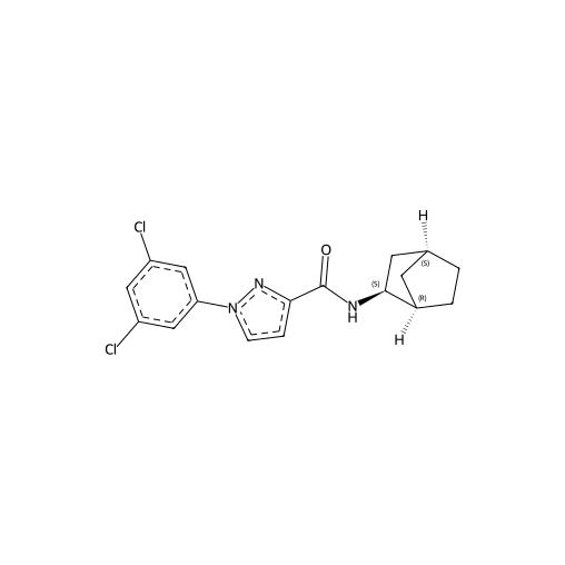 O=C(N[C@H]1C[C@H]2CC[C@@H]1C2)c1ccn(-c2cc(Cl)cc(Cl)c2)n1